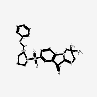 CC1(C)CN=C2C(=O)c3cc(S(=O)(=O)N4CCC[C@H]4COc4ccccc4)ccc3N2C1